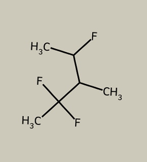 CC(F)C(C)C(C)(F)F